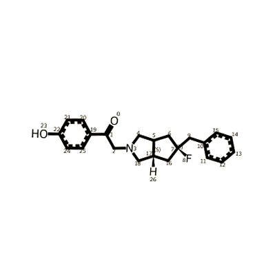 O=C(CN1CC2C[C@](F)(Cc3ccccc3)C[C@@H]2C1)c1ccc(O)cc1